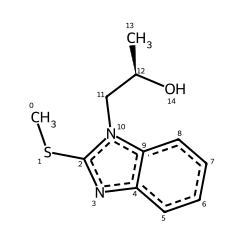 CSc1nc2ccccc2n1C[C@@H](C)O